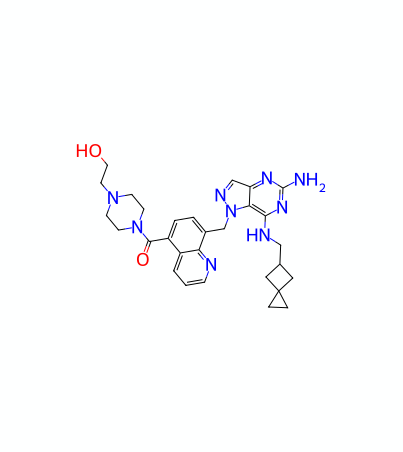 Nc1nc(NCC2CC3(CC3)C2)c2c(cnn2Cc2ccc(C(=O)N3CCN(CCO)CC3)c3cccnc23)n1